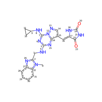 Cn1c(CNc2nc(NC3CC3)n3ncc(/C=C4\NC(=O)NC4=O)c3n2)nc2ccccc21